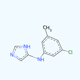 Cc1cc(Cl)cc(Nc2cnc[nH]2)c1